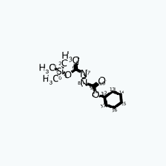 C[Si](C)(C)OC(=O)N=NC(=O)OC1CCCCC1